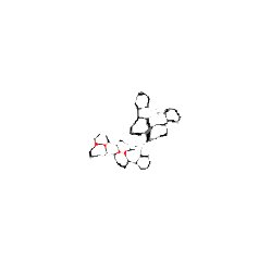 c1ccc(-c2ccc(-c3ccccc3N(c3ccc(-c4ccccc4)cc3)c3ccc(-c4ccccc4-n4c5ccccc5c5ccccc54)cc3)cc2)cc1